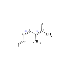 B/C(C)=C(N)/C=C\C=C